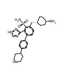 NS(=O)(=O)c1c(C[C@H]2CC[C@H](N)CC2)ccc(-c2ccc(C3CCNCC3)cc2)c1-c1nn[nH]n1